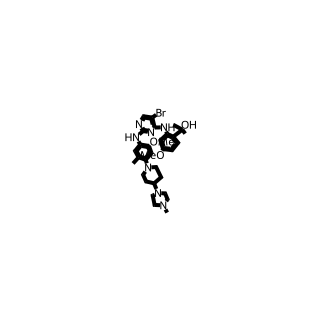 COc1ccc(C(C)(C)O)c(Nc2nc(Nc3cc(C)c(N4CCC(N5CCN(C)CC5)CC4)cc3OC)ncc2Br)c1